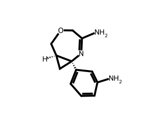 NC1=N[C@@]2(c3cccc(N)c3)C[C@H]2COC1